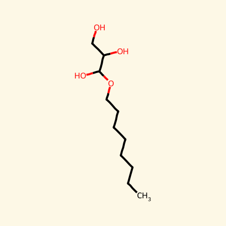 CCCCCCCCOC(O)C(O)CO